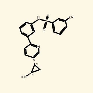 N#Cc1cccc(S(=O)(=O)Nc2cccc(-c3ccc([C@@H]4C[C@H]4N)cn3)c2)c1